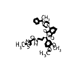 COc1ccc([C@@H](CCCNC(=O)c2csc(C)n2)N2C(=O)c3cccc(N4CCN([C@H](C)c5ccccc5)CC4)c3C2=O)cc1OC